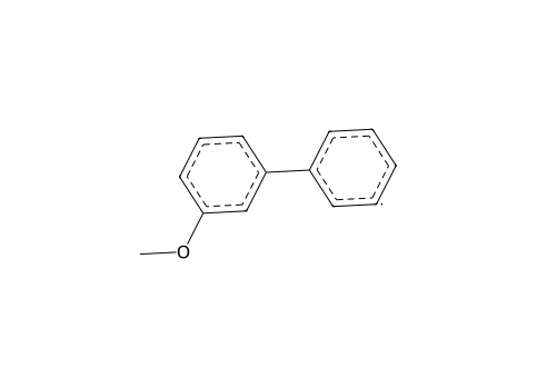 COc1cccc(-c2c[c]ccc2)c1